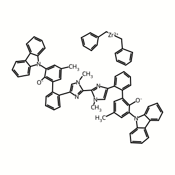 Cc1cc(-c2ccccc2-c2cn(C)c(-c3nc(-c4ccccc4-c4cc(C)cc(-n5c6ccccc6c6ccccc65)c4[O-])cn3C)n2)c([O-])c(-n2c3ccccc3c3ccccc32)c1.c1ccc([CH2][Zr+2][CH2]c2ccccc2)cc1